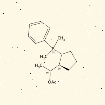 CC(=O)O[C@H](C)[C@@H]1CCCC1[PH](C)(C)c1ccccc1